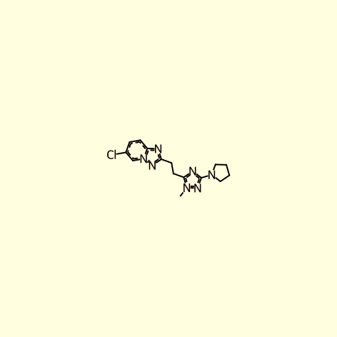 Cn1nc(N2CCCC2)nc1CCc1nc2ccc(Cl)cn2n1